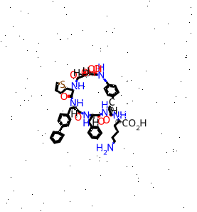 NCCCC[C@H](NC(=O)[C@@H]1Cc2ccc(cc2)NC(=O)[C@H](O)[C@@H](O)C(=O)NC(C2CC=CS2)C(=O)N[C@@H](Cc2ccc(-c3ccccc3)cc2)C(=O)N[C@H](Cc2ccccc2)C(=O)N1)C(=O)O